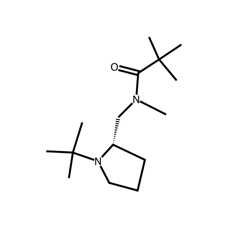 CN(C[C@@H]1CCCN1C(C)(C)C)C(=O)C(C)(C)C